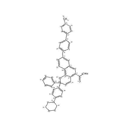 COC(=O)c1cc2cc(-c3ccc(-c4ccc(C)cc4)cc3)ccc2c2c1C=CC(c1ccccc1)(c1ccc(N3CCCCC3)cc1)O2